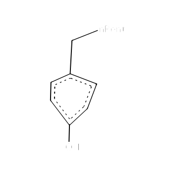 [CH2]CCCCCc1ccc(O)cc1